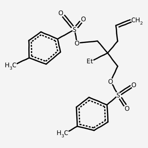 C=CCC(CC)(COS(=O)(=O)c1ccc(C)cc1)COS(=O)(=O)c1ccc(C)cc1